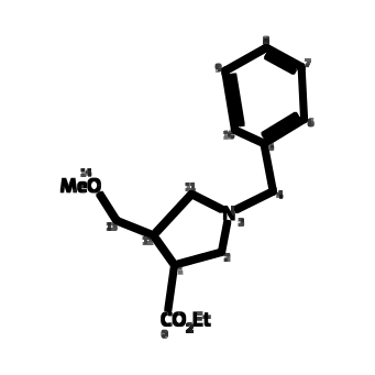 CCOC(=O)C1CN(Cc2ccccc2)CC1COC